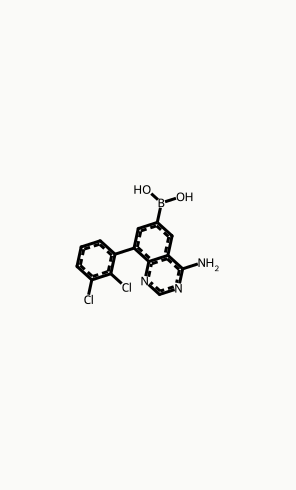 Nc1ncnc2c(-c3cccc(Cl)c3Cl)cc(B(O)O)cc12